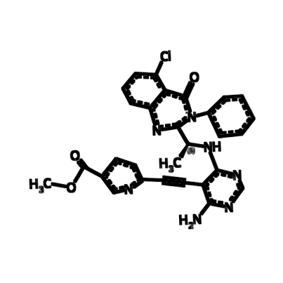 COC(=O)c1ccc(C#Cc2c(N)ncnc2N[C@@H](C)c2nc3cccc(Cl)c3c(=O)n2-c2ccccc2)nc1